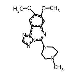 COc1cc2nc(N3CCN(C)CC3)n3ncnc3c2cc1OC